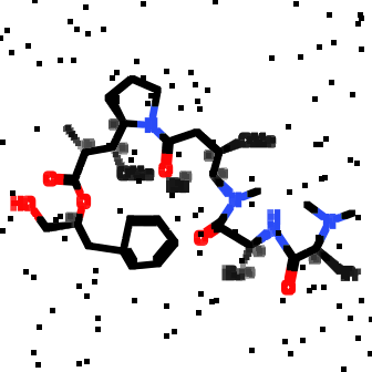 CC[C@H](C)[C@@H]([C@@H](CC(=O)N1CCC[C@@H]1[C@H](OC)[C@@H](C)C(=O)O[C@H](CO)Cc1ccccc1)OC)N(C)C(=O)[C@@H](NC(=O)[C@H](C(C)C)N(C)C)[C@@H](C)CC